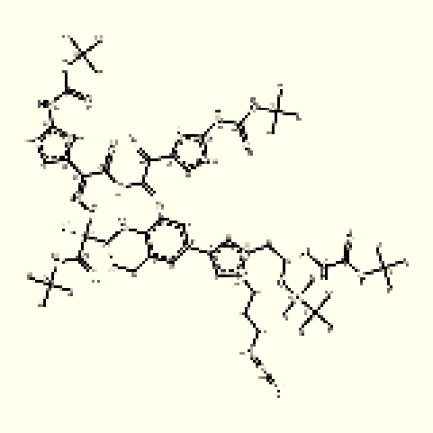 CC(C)(C)OC(=O)NC[C@@H](Cn1cc(-c2ccc3c(c2)CC[C@H]([C@](C)(O/N=C(\C(=O)OC(=O)C(=O)c2csc(NC(=O)OC(C)(C)C)n2)c2csc(NC(=O)OC(C)(C)C)n2)C(=O)OC(C)(C)C)O3)c[n+]1CCCN=[N+]=[N-])O[Si](C)(C)C(C)(C)C